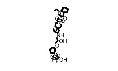 CCn1cc(S(=O)(=O)N2CCC3(CC2)C[C@@H](NC[C@H](O)COc2cccc(S(=O)(=O)C(F)(F)CO)c2)CO3)c(=O)c2ccccc21